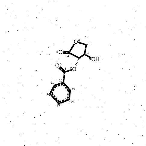 O=C(O[C@@H]1C(=O)OCC1O)c1ccccc1